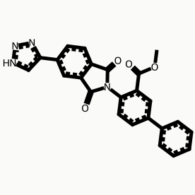 COC(=O)c1cc(-c2ccccc2)ccc1N1C(=O)c2ccc(-c3c[nH]nn3)cc2C1=O